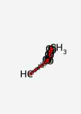 C#CC#CC#CC#CC#CC#CC#CC#CC1CC(=O)N(c2ccc(S(=O)(=O)c3ccc(N4C(=O)CC(C)C4=O)cc3)cc2)C1=O